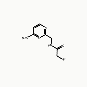 COc1ccnc(CNC(=O)CC(C)C)n1